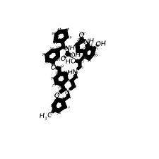 Cc1ccc(CN(CCCNCC(O)c2ccc(O)c3[nH]c(=O)ccc23)C(=O)c2ccc(COc3cccc([C@@H](NC(=O)O)c4ccccc4)c3)cc2)cc1